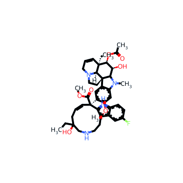 CCC1(O)C/C=C\[C@](C(=O)OC)(c2cc3c(cc2OC)N(C)C2[C@H](O)[C@H](OC(C)=O)[C@]4(CC)C=CCN5CC[C@]32[C@@H]54)c2[nH]c3ccc(F)cc3c2CCNC1